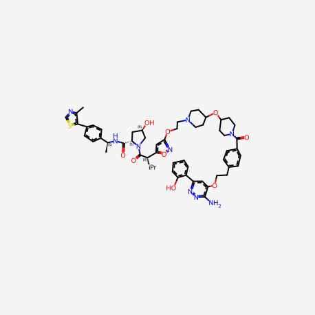 Cc1ncsc1-c1ccc([C@H](C)NC(=O)[C@@H]2C[C@@H](O)CN2C(=O)[C@@H](c2cc(OCCN3CCC(OC4CCN(C(=O)c5ccc(CCOc6cc(-c7ccccc7O)nnc6N)cc5)CC4)CC3)no2)C(C)C)cc1